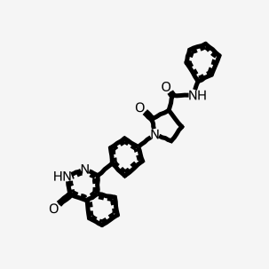 O=C(Nc1ccccc1)C1CCN(c2ccc(-c3n[nH]c(=O)c4ccccc34)cc2)C1=O